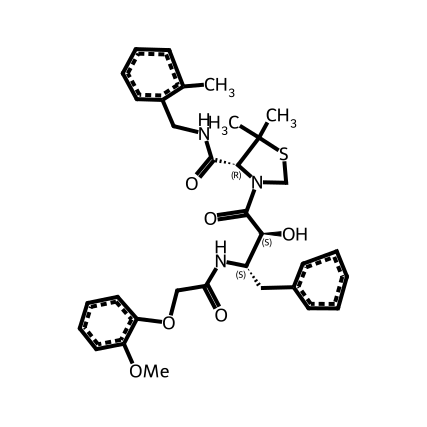 COc1ccccc1OCC(=O)N[C@@H](Cc1ccccc1)[C@H](O)C(=O)N1CSC(C)(C)[C@H]1C(=O)NCc1ccccc1C